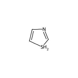 C1=C[SH2]C=N1